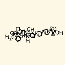 COc1cc(N2CCC(N3CCN(C(=O)C4(C(=O)O)CC4)CC3)CC2)ccc1Nc1ncc(Cl)c(Nc2ccccc2P(C)(C)=O)n1